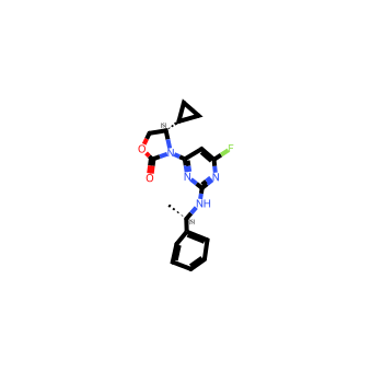 C[C@H](Nc1nc(F)cc(N2C(=O)OC[C@@H]2C2CC2)n1)c1ccccc1